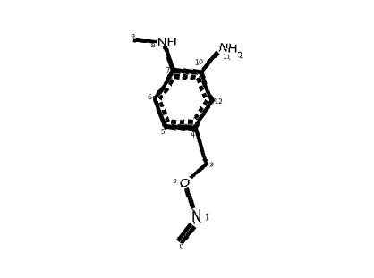 C=NOCc1ccc(NC)c(N)c1